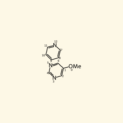 COc1cn[c]nc1.[c]1ccccn1